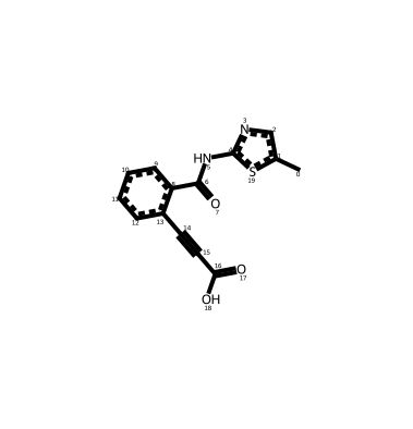 Cc1cnc(NC(=O)c2ccccc2C#CC(=O)O)s1